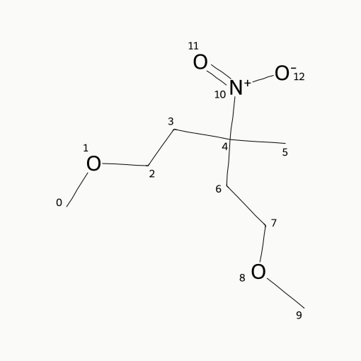 COCCC(C)(CCOC)[N+](=O)[O-]